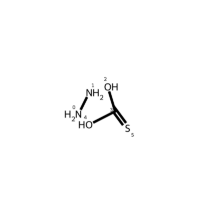 NN.OC(O)=S